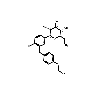 CCOc1ccc(Cc2cc([C@@H]3OC(CC)[C@@H](O)[C@H](O)[C@H]3O)ccc2Cl)cc1